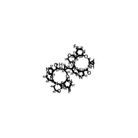 O=C1NC2(CC2)COc2ncc(F)cc2[C@H]2COCCN2c2nc3c1cnn3cc2C1CC12COc1ncc(F)cc1[C@@H]1COCCN1c1ccn3ncc(c3n1)C(=O)N2